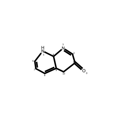 O=C1[C]=NC2NC=CC=C2C1